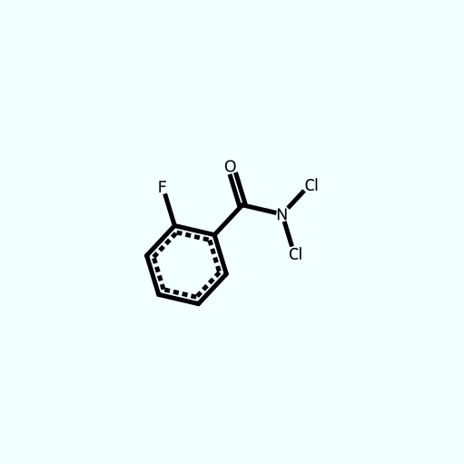 O=C(c1ccccc1F)N(Cl)Cl